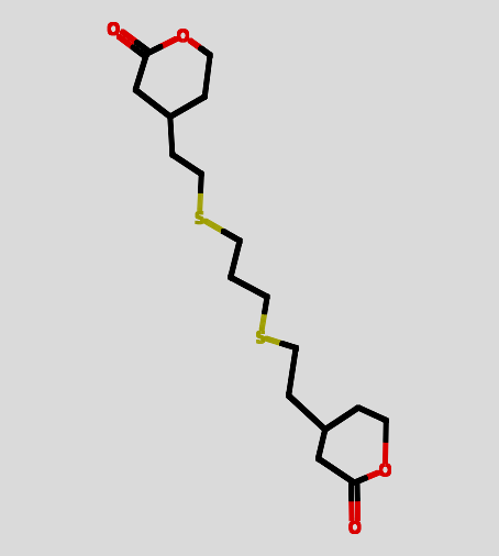 O=C1CC(CCSCCCSCCC2CCOC(=O)C2)CCO1